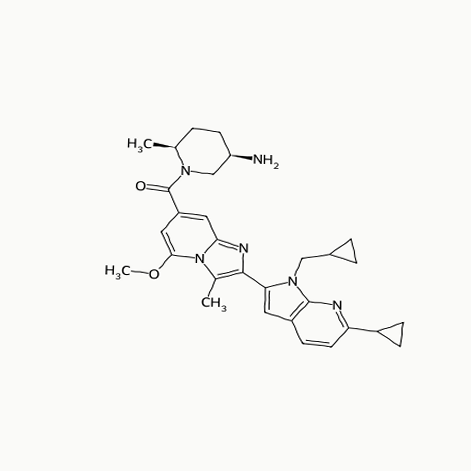 COc1cc(C(=O)N2C[C@H](N)CC[C@@H]2C)cc2nc(-c3cc4ccc(C5CC5)nc4n3CC3CC3)c(C)n12